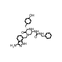 Nc1n[nH]c2c(CN3C[C@H](NC(=O)NCc4ccccc4)N[C@@H](Cc4ccc(O)cc4)C3=O)cccc12